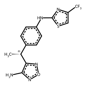 C[C@H](c1ccc(Nc2nc(C(F)(F)F)cs2)cc1)c1nonc1N